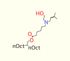 CCCCCCCCC(CCCCCCCC)COC(=O)CCCCCN(CC=C(C)C)CCO